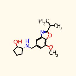 COc1cc(CN[C@@H]2CCC[C@H]2O)cc2nc(C(C)C)oc12